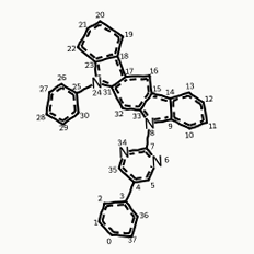 c1ccc(-c2cnc(-n3c4ccccc4c4cc5c6ccccc6n(-c6ccccc6)c5cc43)nc2)cc1